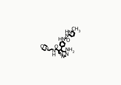 Cc1cccc(NC(=O)Nc2ccc(-c3c(C(=O)NCCN4CCOCC4)cn4ncnc(N)c34)cc2)n1